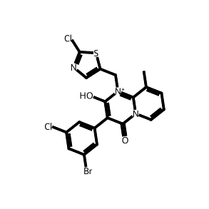 Cc1cccn2c(=O)c(-c3cc(Cl)cc(Br)c3)c(O)[n+](Cc3cnc(Cl)s3)c12